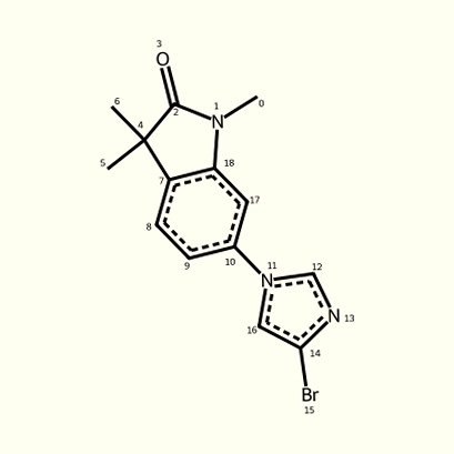 CN1C(=O)C(C)(C)c2ccc(-n3cnc(Br)c3)cc21